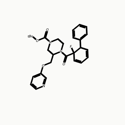 CC(C)(C)OC(=O)N1CCN(C(=O)C2(F)C=CC=CC2c2ccccc2)C(COc2cccnc2)C1